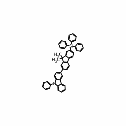 CC1(C)c2cc(-c3ccc4c(c3)c3ccccc3n4-c3ccccc3)ccc2-c2ccc([Si](c3ccccc3)(c3ccccc3)c3ccccc3)cc21